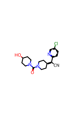 N#CC(=C1CCN(C(=O)N2CCC(O)CC2)CC1)c1ccc(Cl)cn1